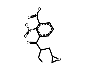 CCC(CC1CO1)C(=O)c1cccc([N+](=O)[O-])c1[N+](=O)[O-]